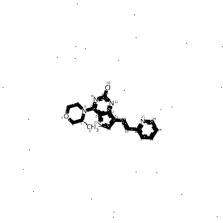 C[C@@H]1COCCN1c1nc(Cl)nc2c(/C=C/c3ccccn3)csc12